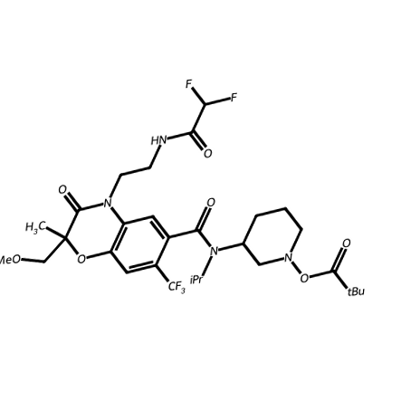 COCC1(C)Oc2cc(C(F)(F)F)c(C(=O)N(C(C)C)C3CCCN(OC(=O)C(C)(C)C)C3)cc2N(CCNC(=O)C(F)F)C1=O